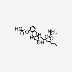 CCCCC[C@@H](CC[C@@H]1[C@H]2Cc3cccc(OCC(=O)O)c3C[C@H]2C[C@H]1O)OC(=O)C(C)N